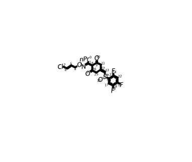 CCCC(=NOCC=CCl)C1C(=O)CC(=C[S+]([O-])c2cc(F)c(F)cc2F)CC1=O